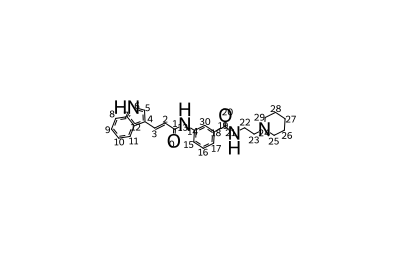 O=C(/C=C/c1c[nH]c2ccccc12)Nc1cccc(C(=O)NCCN2CCCCC2)c1